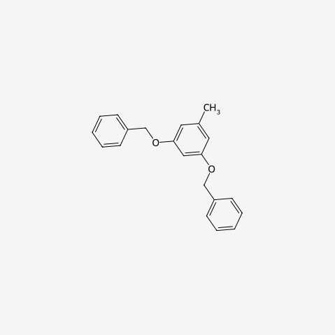 Cc1cc(OCc2ccccc2)cc(OCc2ccccc2)c1